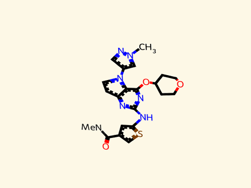 CNC(=O)c1csc(Nc2nc(OC3CCOCC3)c3c(ccn3-c3cnn(C)c3)n2)c1